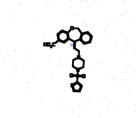 O=C(O)c1ccc2c(c1)/C(=C/CN1CCN(S(=O)(=O)c3cccs3)CC1)c1ccccc1CO2